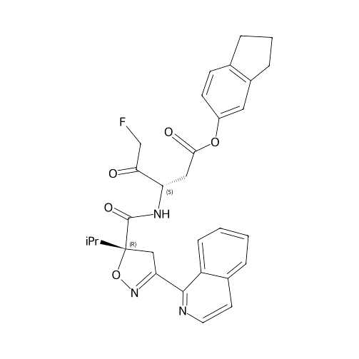 CC(C)[C@@]1(C(=O)N[C@@H](CC(=O)Oc2ccc3c(c2)CCC3)C(=O)CF)CC(c2nccc3ccccc23)=NO1